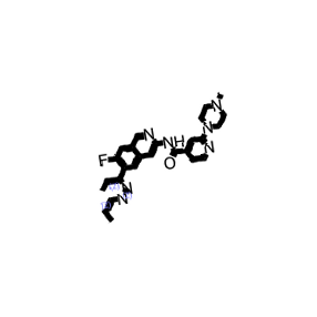 C\C=C/N=N\C(=C/C)c1cc2cc(NC(=O)c3ccnc(N4CCN(C)CC4)c3)ncc2cc1F